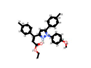 CCOC(=O)/C=C(/c1ccc(C)cc1)c1cc(-c2ccc(C)cc2)n(-c2ccc(OC)cc2)n1